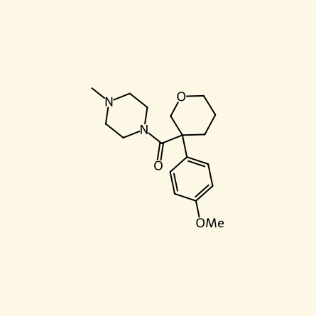 COc1ccc(C2(C(=O)N3CCN(C)CC3)CCCOC2)cc1